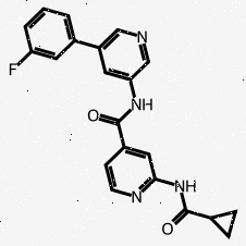 O=C(Nc1cncc(-c2cccc(F)c2)c1)c1ccnc(NC(=O)C2CC2)c1